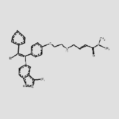 CC/C(=C(/c1ccc(OCCNCC=CC(=O)N(C)C)cc1)c1ccc2[nH]nc(C(F)(F)F)c2c1)c1ccccc1